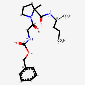 CC1(C(=O)N[C@@H](CCC(=O)O)C(=O)O)CCCN1C(=O)CNC(=O)OCc1ccccc1